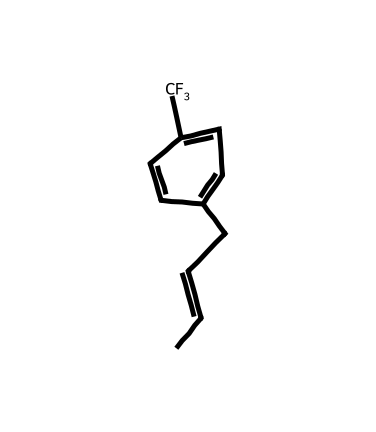 C/C=C/Cc1ccc(C(F)(F)F)cc1